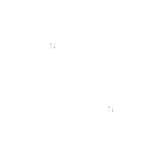 C1=CC2=CC=CC(N(c3ccccc3)c3ccc(-c4ccc(N(c5ccccc5)c5cccc6ccccc56)cc4)cc3)=C(C=C1)C2